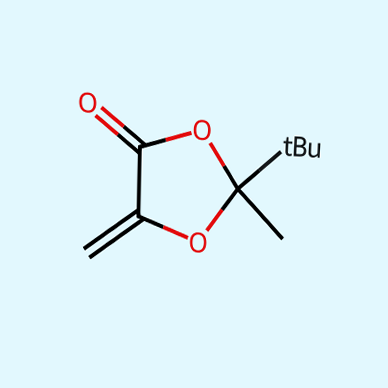 C=C1OC(C)(C(C)(C)C)OC1=O